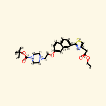 CCOC(=O)Cc1csc(-c2ccc3ccc(OCCN4CCN(C(=O)OC(C)(C)C)CC4)cc3c2)n1